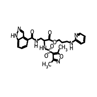 Cc1noc(C)c1S(=O)(=O)NC(CNC(=O)c1cccc2[nH]ncc12)C(=O)OCCCNc1ccccn1